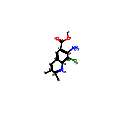 COC(=O)c1cc2cc(C)c(C)nc2c(Cl)c1N